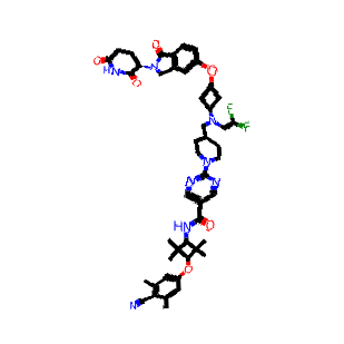 Cc1cc(OC2C(C)(C)C(NC(=O)c3cnc(N4CCC(CN(CC(F)F)C5CC(Oc6ccc7c(c6)CN([C@@H]6CCC(=O)NC6=O)C7=O)C5)CC4)nc3)C2(C)C)cc(C)c1C#N